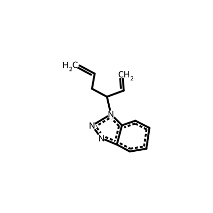 C=CCC(C=C)n1nnc2ccccc21